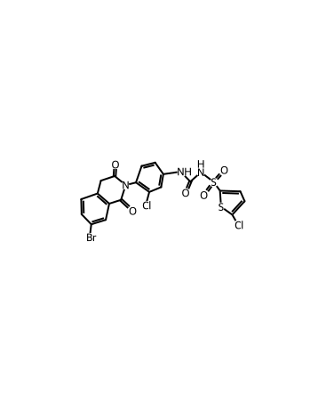 O=C(Nc1ccc(N2C(=O)Cc3ccc(Br)cc3C2=O)c(Cl)c1)NS(=O)(=O)c1ccc(Cl)s1